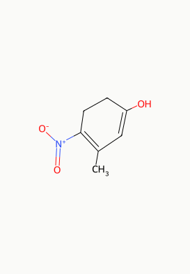 CC1=C([N+](=O)[O-])CCC(O)=C1